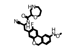 CONc1ccc2c(c1)-c1cc(F)c(CC(C#N)NC(=O)C3CNCCCO3)cc1OC2